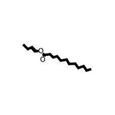 CC/C=C/OC(=O)CCCCCCCCCCC